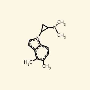 Cc1ccc2c(ccn2C2CC2N(C)C)c1C